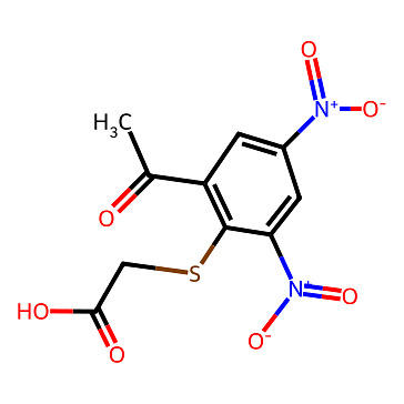 CC(=O)c1cc([N+](=O)[O-])cc([N+](=O)[O-])c1SCC(=O)O